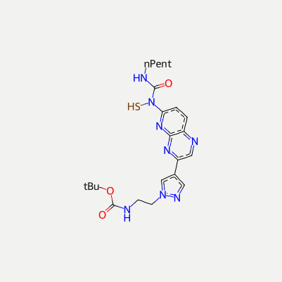 CCCCCNC(=O)N(S)c1ccc2ncc(-c3cnn(CCNC(=O)OC(C)(C)C)c3)nc2n1